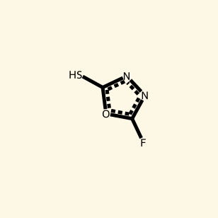 Fc1nnc(S)o1